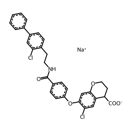 O=C(NCCc1ccc(-c2ccccc2)cc1Cl)c1ccc(Oc2cc3c(cc2Cl)C(C(=O)[O-])CCO3)cc1.[Na+]